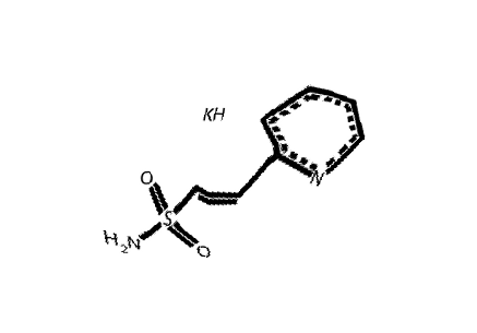 NS(=O)(=O)C=Cc1ccccn1.[KH]